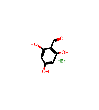 Br.O=Cc1c(O)cc(O)cc1O